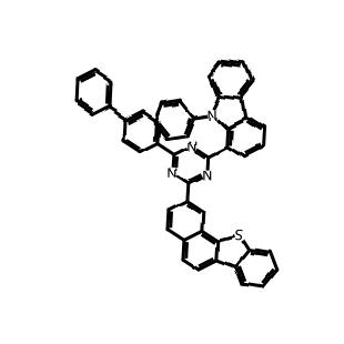 c1ccc(-c2ccc(-c3nc(-c4ccc5ccc6c7ccccc7sc6c5c4)nc(-c4cccc5c6ccccc6n(-c6ccccc6)c45)n3)cc2)cc1